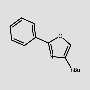 [CH2]CCCc1coc(-c2ccccc2)n1